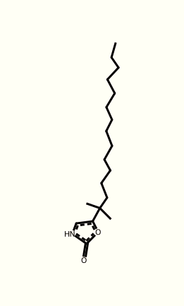 CCCCCCCCCCCCCC(C)(C)c1c[nH]c(=O)o1